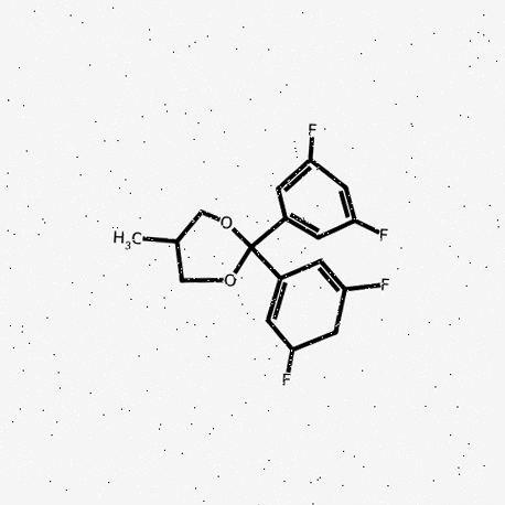 CC1COC(C2=CC(F)CC(F)=C2)(c2cc(F)cc(F)c2)OC1